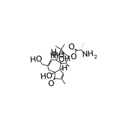 CC1=C[C@H]2[C@@]3(O)[C@H](C)[C@@H](OC(=O)[C@H](C)N)[C@]4(O)[C@@H]([C@@H]3C=C(CO)C[C@@]2(O)C1=O)C4(C)C